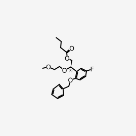 CCCC(=O)OC[C@H](OCCOC)c1cc(F)ccc1OCc1ccccc1